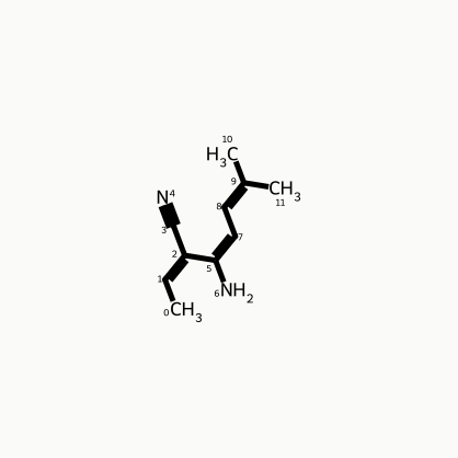 C/C=C(C#N)\C(N)=C/C=C(C)C